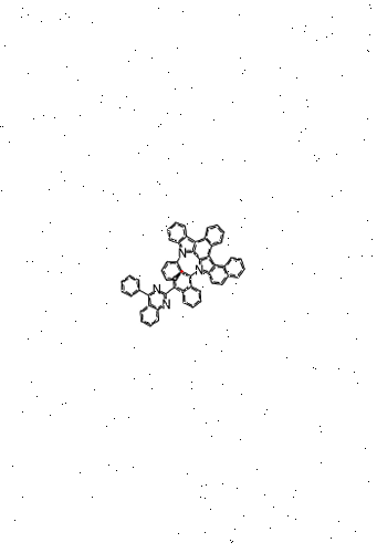 c1ccc(-c2nc(-c3ccc(-n4c5ccc6ccccc6c5c5c6ccccc6c6c7ccccc7n(-c7ccccc7)c6c54)c4ccccc34)nc3ccccc23)cc1